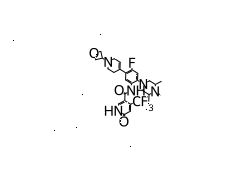 CC1CN(c2cc(F)c(C3=CCN(C4COC4)CC3)cc2NC(=O)c2c[nH]c(=O)cc2C(F)(F)F)CC(C)N1C